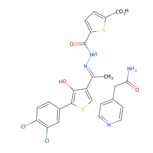 CC(=NNC(=O)c1ccc(C(=O)O)s1)c1csc(-c2ccc(Cl)c(Cl)c2)c1O.NC(=O)Cc1ccncc1